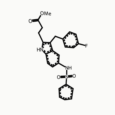 COC(=O)CCc1[nH]c2ccc(NS(=O)(=O)c3ccccc3)cc2c1Cc1ccc(F)cc1